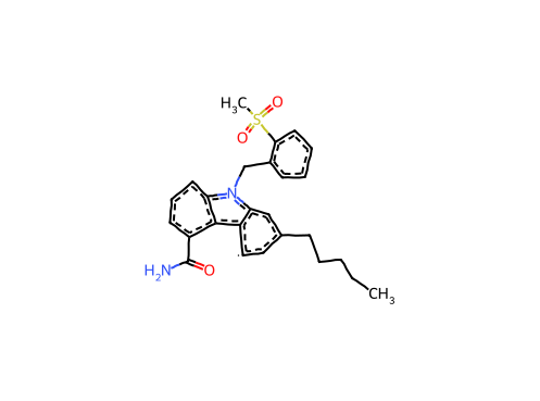 CCCCCc1c[c]c2c3c(C(N)=O)cccc3n(Cc3ccccc3S(C)(=O)=O)c2c1